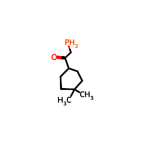 CC1(C)CCC(C(=O)CP)CC1